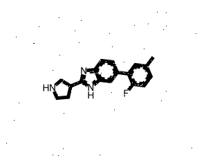 Cc1ccc(F)c(-c2ccc3nc(C4CCNC4)[nH]c3c2)c1